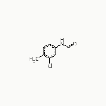 Cc1ccc(NC=O)cc1Cl